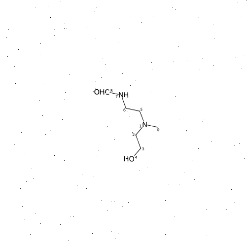 CN(CCO)CCN[C]=O